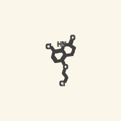 O=C1CCc2c(OCCCl)ccc(Cl)c2N1